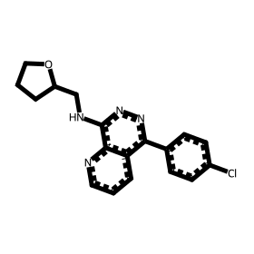 Clc1ccc(-c2nnc(NCC3CCCO3)c3ncccc23)cc1